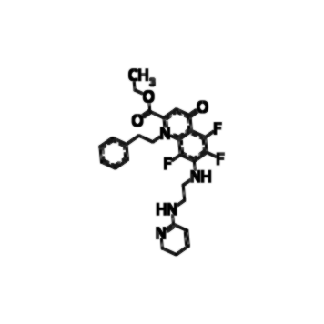 CCOC(=O)c1cc(=O)c2c(F)c(F)c(NCCNC3=NCCC=C3)c(F)c2n1CCc1ccccc1